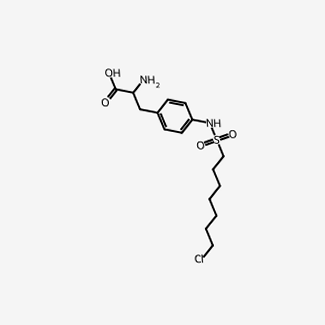 NC(Cc1ccc(NS(=O)(=O)CCCCCCCCl)cc1)C(=O)O